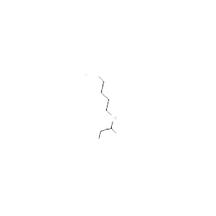 CCCCCCCCCCCCNC(CC(C)C)C(=O)O